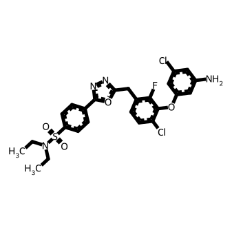 CCN(CC)S(=O)(=O)c1ccc(-c2nnc(Cc3ccc(Cl)c(Oc4cc(N)cc(Cl)c4)c3F)o2)cc1